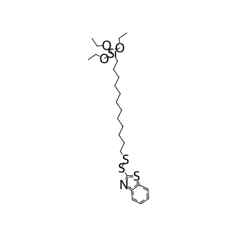 CCO[Si](CCCCCCCCCCCCSSc1nc2ccccc2s1)(OCC)OCC